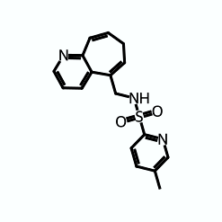 Cc1ccc(S(=O)(=O)NCC2=CCC=Cc3ncccc32)nc1